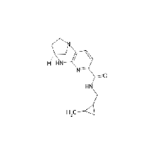 CC1CC1CNC(=O)c1ccc2c(n1)N[C@H]1CCN2C1